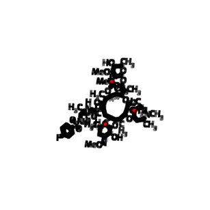 CO/N=C1\C[C@@H](C)O[C@@H](O[C@@H]2[C@@H](C)[C@H](O[C@H]3CC(C)N(C)C[C@H](C)O3)[C@@H](C)C(=O)O[C@H]([C@@H](C)CO[C@@H]3O[C@H](C)[C@@H](O)[C@@H](OC)[C@H]3OC)[C@H](C)[C@@H](OC(=O)CC(C)C)[C@@H](C)C(=O)[C@@](C)(OC(=O)NC(C)(C)CNS(=O)(=O)c3ccc(F)cc3)C[C@@H]2C)[C@@H]1O